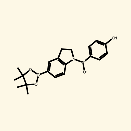 CC1(C)OB(c2ccc3c(c2)CCN3[S+]([O-])c2ccc(C#N)cc2)OC1(C)C